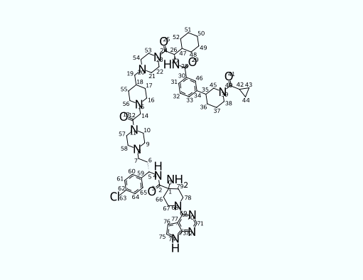 NC1(C(=O)N[C@@H](CCN2CCN(C(=O)CN3CCC(CN4CCN(C(=O)[C@H](NC(=O)c5cccc(C6CCCN(C(=O)C7CC7)C6)c5)C5CCCCC5)CC4)CC3)CC2)c2ccc(Cl)cc2)CCN(c2ncnc3[nH]ccc23)CC1